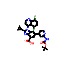 CC(C)(C)OC(=O)Nc1cc(-c2cc(C(=O)O)c3nc(C4CC4)n(-c4ccnc5c(F)ccc(F)c45)c3c2)ccn1